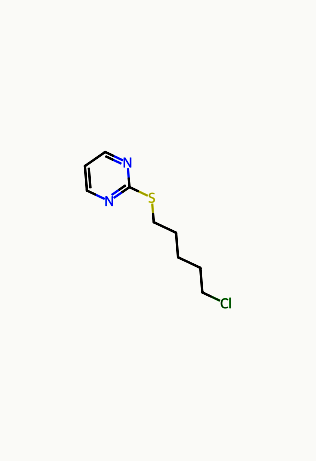 ClCCCCCSc1ncccn1